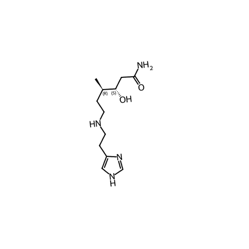 C[C@H](CCNCCc1c[nH]cn1)[C@@H](O)CC(N)=O